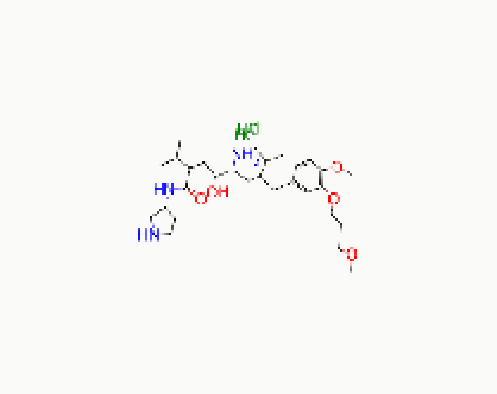 COCCCOc1cc(CC(CC(N)C(O)CC(C(=O)N[C@@H]2CCNC2)C(C)C)C(C)C)ccc1OC.Cl.Cl